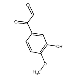 COc1ccc(C(=O)C=O)cc1O